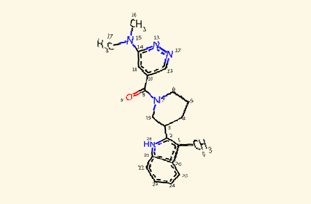 Cc1c(C2CCCN(C(=O)c3cnnc(N(C)C)c3)C2)[nH]c2ccccc12